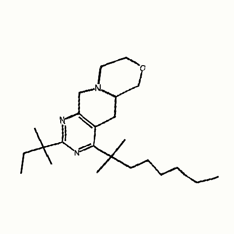 CCCCCCC(C)(C)c1nc(C(C)(C)CC)nc2c1CC1COCCN1C2